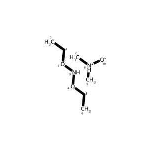 CCONOCC.C[NH+](C)[O-]